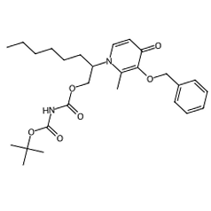 CCCCCCC(COC(=O)NC(=O)OC(C)(C)C)n1ccc(=O)c(OCc2ccccc2)c1C